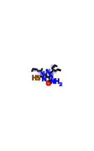 C=C/C=C(\C=C/C)c1nc(C(N)=O)c2nc(S)n(/C(C)=C/C=C\C)c2n1